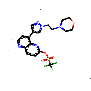 O=S(=O)(Oc1ccc2nccc(-c3cnn(CCN4CCOCC4)c3)c2n1)C(F)(F)F